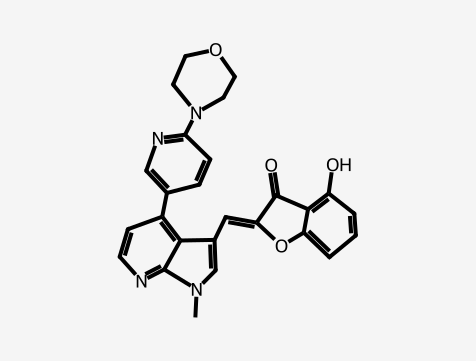 Cn1cc(C=C2Oc3cccc(O)c3C2=O)c2c(-c3ccc(N4CCOCC4)nc3)ccnc21